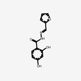 O=C(N/N=C/c1cccs1)c1ccc(O)cc1O